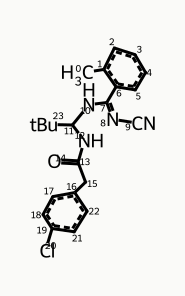 Cc1ccccc1/C(=N\C#N)NC(NC(=O)Cc1ccc(Cl)cc1)C(C)(C)C